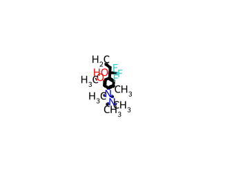 C=CCC(O)(c1cc(C)c(N(C)CN(C)CC)cc1OC)C(F)(F)F